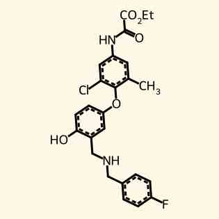 CCOC(=O)C(=O)Nc1cc(C)c(Oc2ccc(O)c(CNCc3ccc(F)cc3)c2)c(Cl)c1